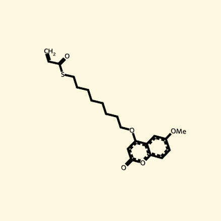 C=CC(=O)SCCCCCCCCOc1cc(=O)oc2ccc(OC)cc12